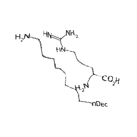 CCCCCCCCCCCCCCCCCCN.N=C(N)NCCCC(N)C(=O)O